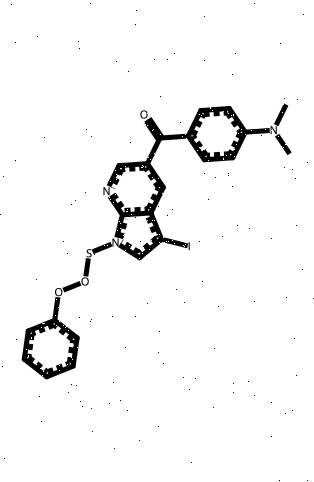 CN(C)c1ccc(C(=O)c2cnc3c(c2)c(I)cn3SOOc2ccccc2)cc1